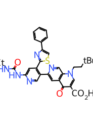 CCNC(=O)Nc1cc(-c2nc(-c3ccccc3)cs2)c(-c2cc3c(=O)c(C(=O)O)cn(CCC(C)(C)C)c3cn2)cn1